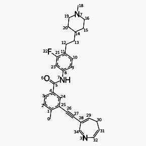 Cc1ccc(C(=O)Nc2ccc(CCC3CCN(C)CC3)c(F)c2)cc1C#CC1=CCC=CN=C1